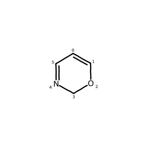 C1=COCN=C1